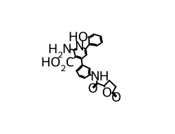 Nc1nc(-c2ccccc2O)cc(-c2cccc(NC(=O)C3CCC(=O)O3)c2)c1C(=O)O